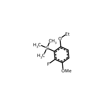 CCOc1ccc(OC)c(F)c1[Si](C)(C)C